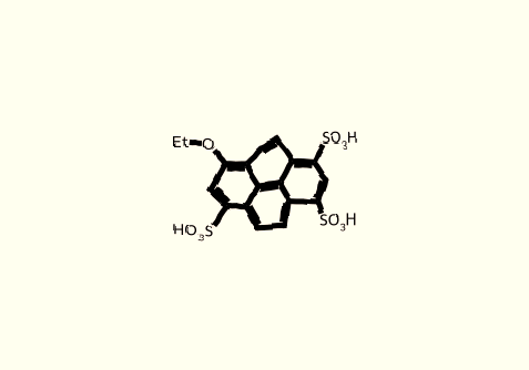 CCOc1cc(S(=O)(=O)O)c2ccc3c(S(=O)(=O)O)cc(S(=O)(=O)O)c4ccc1c2c43